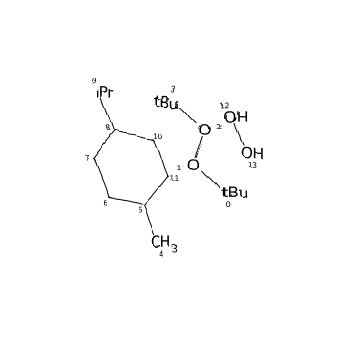 CC(C)(C)OOC(C)(C)C.CC1CCC(C(C)C)CC1.OO